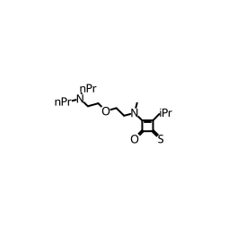 CCCN(CCC)CCOCCN(C)c1c(C(C)C)c(=S)c1=O